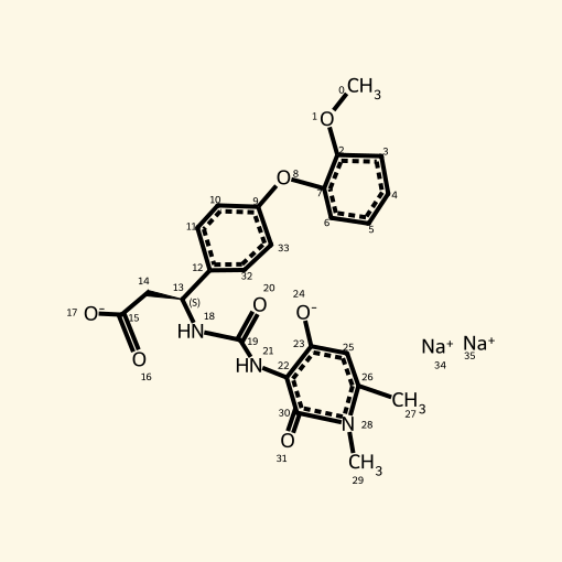 COc1ccccc1Oc1ccc([C@H](CC(=O)[O-])NC(=O)Nc2c([O-])cc(C)n(C)c2=O)cc1.[Na+].[Na+]